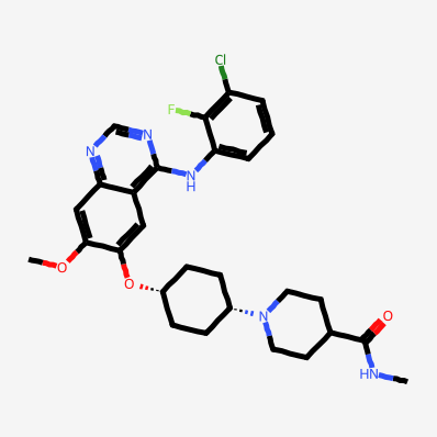 CNC(=O)C1CCN([C@H]2CC[C@@H](Oc3cc4c(Nc5cccc(Cl)c5F)ncnc4cc3OC)CC2)CC1